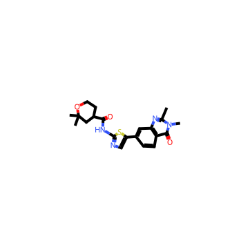 Cc1nc2cc(-c3cnc(NC(=O)C4CCOC(C)(C)C4)s3)ccc2c(=O)n1C